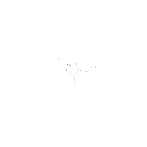 CC(C)Cn1nc(Br)cc1Br